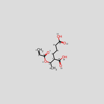 C=CC(=O)OC(C)C(CCCC(=O)O)C(=O)O